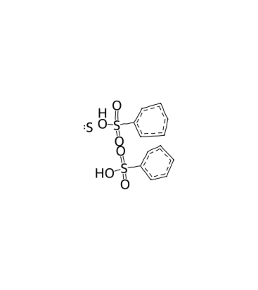 O=S(=O)(O)c1ccccc1.O=S(=O)(O)c1ccccc1.[S]